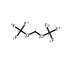 FC(F)(F)OCOC(F)(F)F